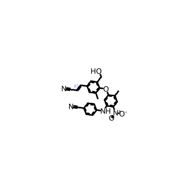 Cc1cc([N+](=O)[O-])c(Nc2ccc(C#N)cc2)cc1Oc1c(C)cc(/C=C/C#N)cc1CO